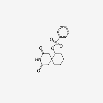 O=C1CC2(CCCCC2OS(=O)(=O)c2ccccc2)CC(=O)N1